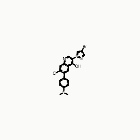 CN(C)c1ccc(-c2cc3c(O)c(-n4cc(Br)cn4)cnc3cc2Cl)cc1